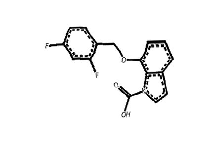 O=C(O)n1ccc2cccc(OCc3ccc(F)cc3F)c21